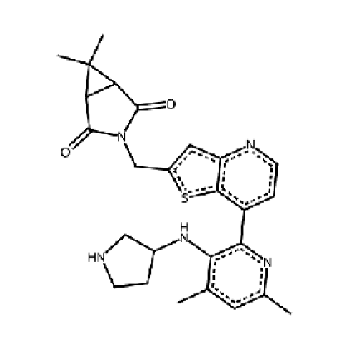 Cc1cc(C)c(NC2CCNC2)c(-c2ccnc3cc(CN4C(=O)C5C(C4=O)C5(C)C)sc23)n1